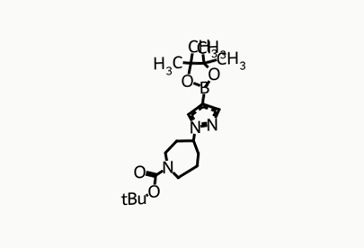 CC(C)(C)OC(=O)N1CCCC(n2cc(B3OC(C)(C)C(C)(C)O3)cn2)CC1